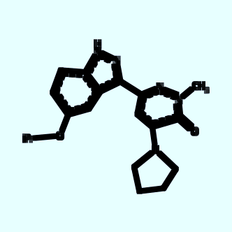 CC(C)Oc1ccc2[nH]nc(-c3cc(N4CCCC4)c(=O)n(C)n3)c2c1